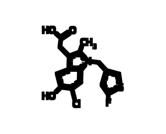 Cc1c(CC(=O)O)c2cc(O)c(Cl)cc2n1Cc1csc(F)c1